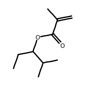 C=C(C)C(=O)OC(CC)C(C)C